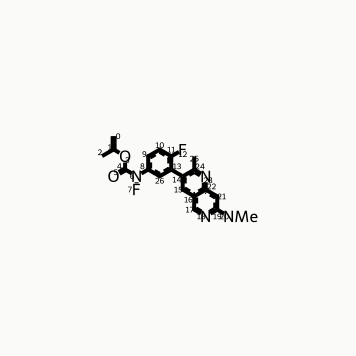 C=C(C)OC(=O)N(F)c1ccc(F)c(-c2cc3cnc(NC)cc3nc2C)c1